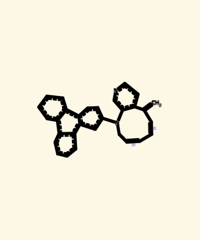 C=C1/C=C\C=C/CN(c2ccc3c4ccccc4c4ccccc4c3c2)c2cnccc21